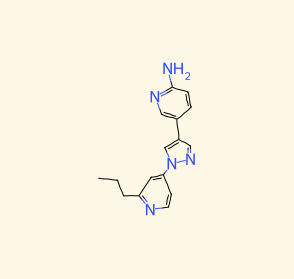 CCCc1cc(-n2cc(-c3ccc(N)nc3)cn2)ccn1